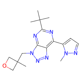 Cn1nccc1-c1nc(C(C)(C)C)nc2c1nnn2CC1(C)COC1